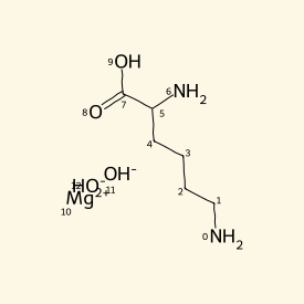 NCCCCC(N)C(=O)O.[Mg+2].[OH-].[OH-]